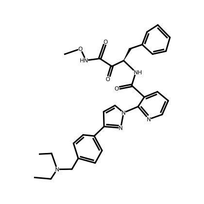 CCN(CC)Cc1ccc(-c2ccn(-c3ncccc3C(=O)N[C@H](Cc3ccccc3)C(=O)C(=O)NOC)n2)cc1